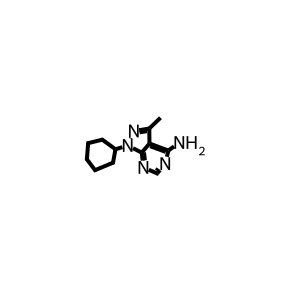 Cc1nn(C2CCCCC2)c2ncnc(N)c12